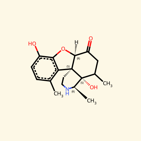 Cc1ccc(O)c2c1[C@]13CCN[C@H](C)[C@]1(O)C(C)CC(=O)[C@@H]3O2